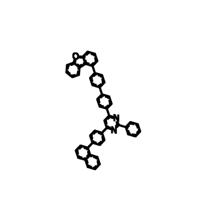 c1ccc(-c2nc(-c3ccc(-c4ccc(-c5cccc6oc7ccccc7c56)cc4)cc3)cc(-c3ccc(-c4cccc5ccccc45)cc3)n2)cc1